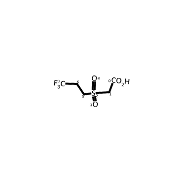 O=C(O)CS(=O)(=O)CCC(F)(F)F